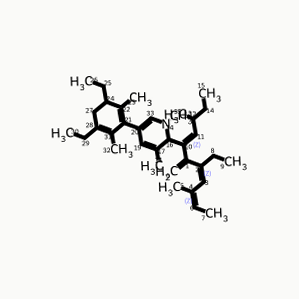 C=C(/C(=C\C(C)=C/C)CC)/C(=C/C(C)CC)C1C(C)=CC(C2=C(C)C(CC)CC(CC)=C2C)=CN1C